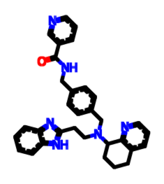 O=C(NCc1ccc(CN(CCc2nc3ccccc3[nH]2)C2CCCc3cccnc32)cc1)c1cccnc1